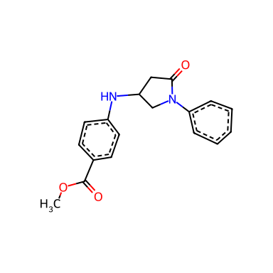 COC(=O)c1ccc(NC2CC(=O)N(c3ccccc3)C2)cc1